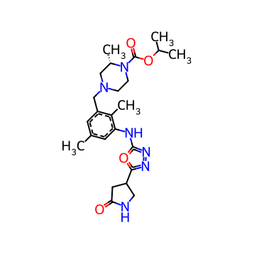 Cc1cc(CN2CCN(C(=O)OC(C)C)[C@@H](C)C2)c(C)c(Nc2nnc(C3CNC(=O)C3)o2)c1